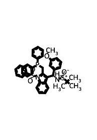 COc1cccc([C@H](N[S@+]([O-])C(C)(C)C)c2c(CP(c3ccccc3)c3ccccc3)n(S(=O)(=O)c3ccccc3)c3ccccc23)c1